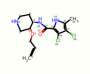 C=CCO[C@H]1CNCC[C@H]1NC(=O)c1[nH]c(C)c(Cl)c1Cl